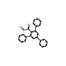 O=PC(=O)c1c(-c2ccccc2)cc(-c2ccccc2)cc1-c1ccccc1